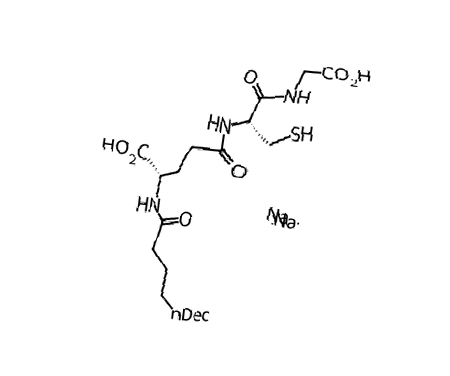 CCCCCCCCCCCCCC(=O)N[C@@H](CCC(=O)N[C@@H](CS)C(=O)NCC(=O)O)C(=O)O.[Na].[Na]